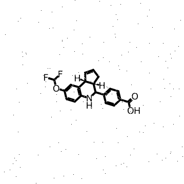 O=C(O)c1ccc(C2Nc3ccc(OC(F)F)cc3[C@@H]3C=CC[C@H]23)cc1